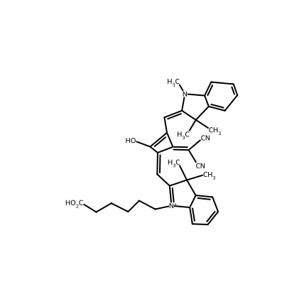 CN1/C(=C/C2=C(O)C(=C/C3=[N+](CCCCCC(=O)O)c4ccccc4C3(C)C)/C2=C(C#N)C#N)C(C)(C)c2ccccc21